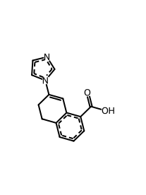 O=C(O)c1cccc2c1C=C(n1ccnc1)CC2